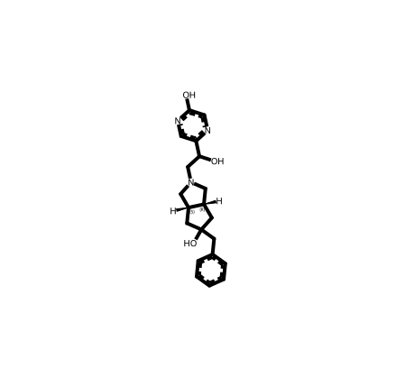 Oc1cnc(C(O)CN2C[C@@H]3CC(O)(Cc4ccccc4)C[C@@H]3C2)cn1